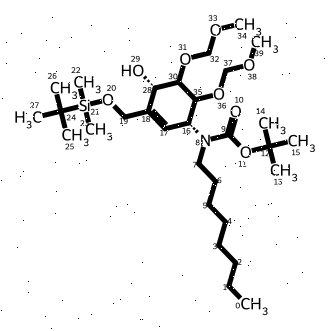 CCCCCCCCN(C(=O)OC(C)(C)C)[C@@H]1C=C(CO[Si](C)(C)C(C)(C)C)[C@H](O)C(OCOC)C1OCOC